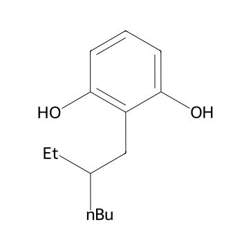 CCCCC(CC)Cc1c(O)cccc1O